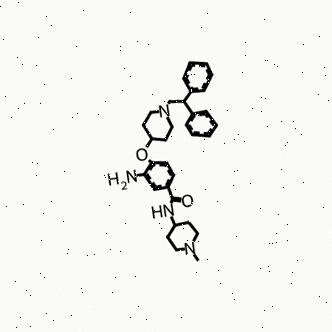 CN1CCC(NC(=O)c2ccc(OC3CCN(CC(c4ccccc4)c4ccccc4)CC3)c(N)c2)CC1